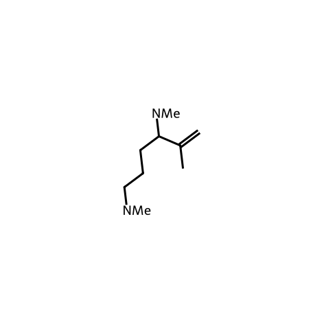 C=C(C)C(CCCNC)NC